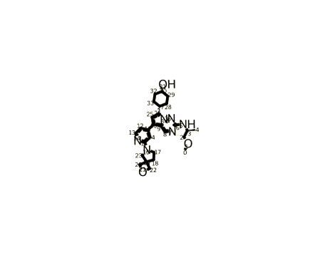 COC[C@H](C)Nc1ncc2c(-c3ccnc(N4CCC5(COC5)C4)c3)cc([C@H]3CC[C@H](O)CC3)n2n1